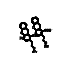 CCCOCCc1ccc2c(c1C(=O)[O-])Cc1ccccc1O2.CCCOCCc1ccc2c(c1C(=O)[O-])Cc1ccccc1O2.[Pt+2]